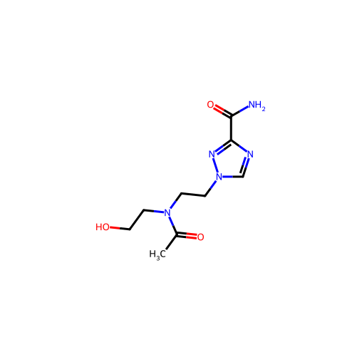 CC(=O)N(CCO)CCn1cnc(C(N)=O)n1